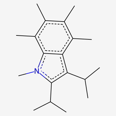 Cc1c(C)c(C)c2c(c1C)c(C(C)C)c(C(C)C)n2C